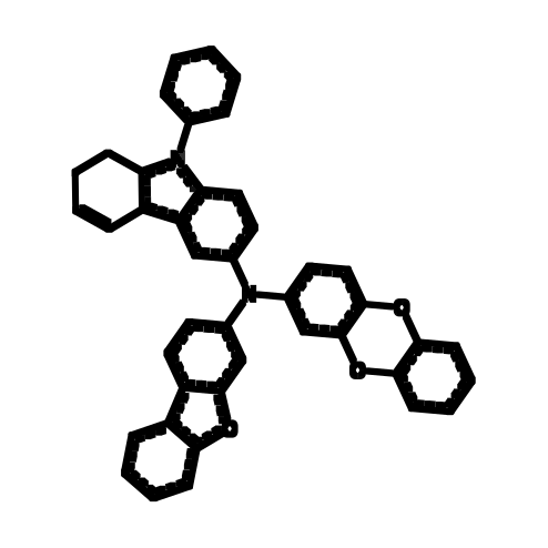 C1=Cc2c(n(-c3ccccc3)c3ccc(N(c4ccc5c(c4)Oc4ccccc4O5)c4ccc5c(c4)oc4ccccc45)cc23)CC1